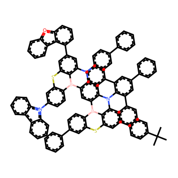 CC(C)(C)c1ccc(-c2cc3c4c(c2)N(c2c(-c5ccccc5)cc(-c5ccccc5)cc2-c2ccccc2)c2cc5c(cc2B4c2ccc(-c4ccccc4)cc2S3)B2c3ccc(-n4c6ccccc6c6ccccc64)cc3Sc3cc(-c4cccc6oc7ccccc7c46)cc(c32)N5c2ccc(-c3ccccc3)cc2)cc1